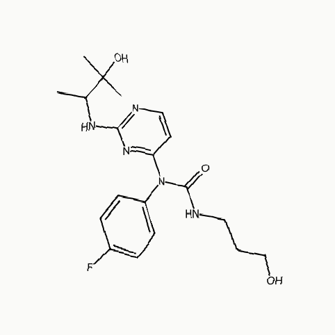 CC(Nc1nccc(N(C(=O)NCCCO)c2ccc(F)cc2)n1)C(C)(C)O